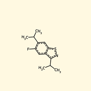 CC(C)c1cc2snc(C(C)C)c2cc1F